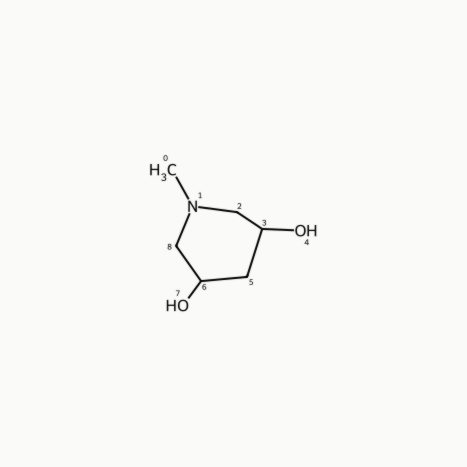 CN1CC(O)CC(O)C1